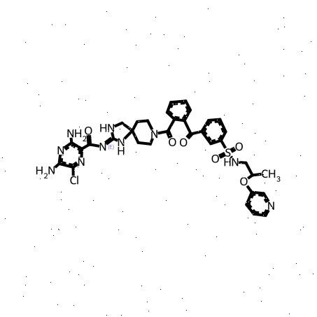 CC(CNS(=O)(=O)c1cccc(C(=O)c2ccccc2C(=O)N2CCC3(CC2)CN/C(=N\C(=O)c2nc(Cl)c(N)nc2N)N3)c1)Oc1cccnc1